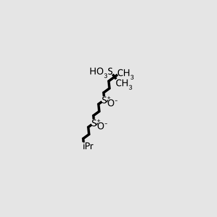 CC(C)CCC[S+]([O-])CCC[S+]([O-])CCCC(C)(C)S(=O)(=O)O